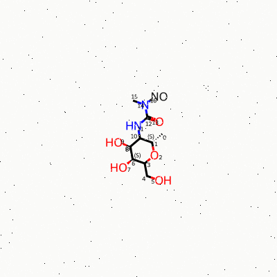 C[C@@H]1OC(CO)[C@@H](O)[C@@H](O)C1NC(=O)N(C)N=O